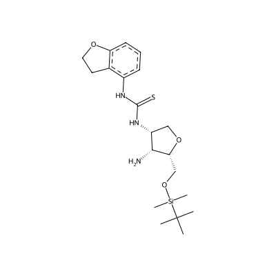 CC(C)(C)[Si](C)(C)OC[C@H]1OC[C@@H](NC(=S)Nc2cccc3c2CCO3)[C@H]1N